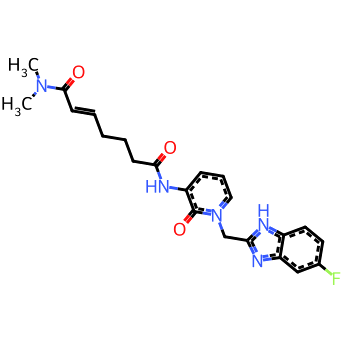 CN(C)C(=O)/C=C/CCCC(=O)Nc1cccn(Cc2nc3cc(F)ccc3[nH]2)c1=O